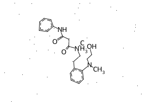 CN(CCc1ccccc1N(C)CCO)C(=O)CC(=O)Nc1ccccc1